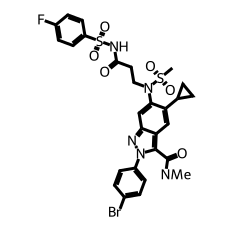 CNC(=O)c1c2cc(C3CC3)c(N(CCC(=O)NS(=O)(=O)c3ccc(F)cc3)S(C)(=O)=O)cc2nn1-c1ccc(Br)cc1